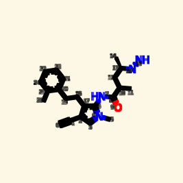 C#Cc1cn(C)c(NC(=O)C(C)C[C@@H](C)N=N)c1CCc1ccccc1C